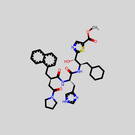 COC(=O)c1cnc([C@@H](O)[C@@H](CC2CCCCC2)NC(=O)[C@H](Cc2c[nH]cn2)NC(=O)[C@@H](CC(=O)N2CCCC2)Cc2cccc3ccccc23)s1